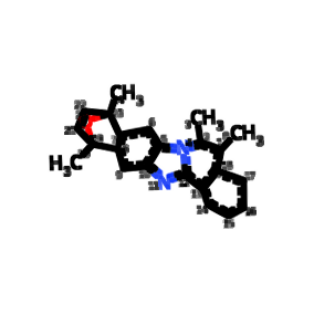 Cc1c(C)n2c3cc4c(cc3nc2c2ccccc12)C1(C)C=CC4(C)O1